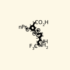 CCCOc1cc(CC(=O)O)cc(S(=O)(=O)c2ccc(C(=N)/C=C(\N)C(F)(F)F)s2)c1